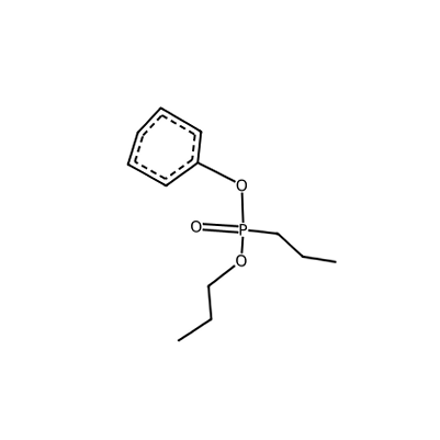 CCCOP(=O)(CCC)Oc1ccccc1